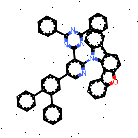 c1ccc(-c2nc(-c3ccccc3)nc(-c3cc(-c4ccc(-c5ccccc5)c(-c5ccccc5)c4)cnc3-n3c4ccccc4c4ccc5oc6ccccc6c5c43)n2)cc1